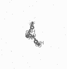 CC(F)Oc1cccc(CNC(=O)c2cc(C(=O)NCc3ccc4oc(=O)[nH]c4c3)nc3ccnn23)c1